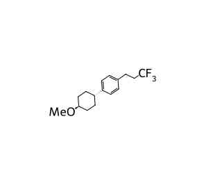 CO[C@H]1CC[C@H](c2ccc(CCC(F)(F)F)cc2)CC1